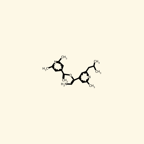 C=C(O/C(=C\N)c1cc(C)nc(CC(C)C)c1)c1cc(C)nc(C)c1